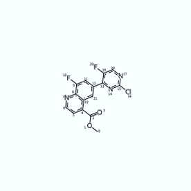 COC(=O)c1ccnc2c(F)cc(-c3nc(Cl)ncc3F)cc12